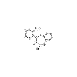 CCC1=Nc2ccccc2CC(c2ccncc2)N1C.O